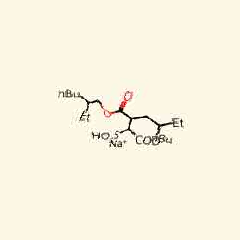 CCCCC(CC)COC(=O)C(CC(CC)CCCC)C(C(=O)[O-])S(=O)(=O)O.[Na+]